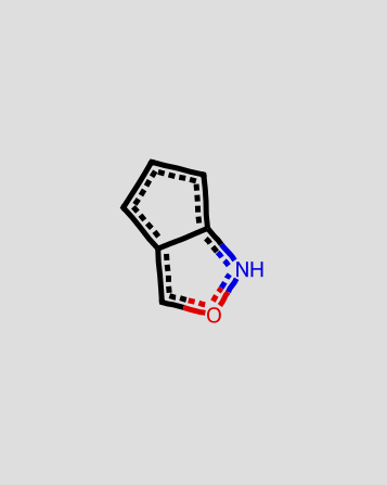 c1cc2co[nH]c-2c1